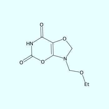 CCOCN1COc2c1oc(=O)[nH]c2=O